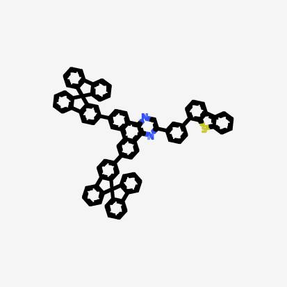 c1cc(-c2cnc3c4ccc(-c5ccc6c(c5)C5(c7ccccc7-c7ccccc75)c5ccccc5-6)cc4c4cc(-c5ccc6c(c5)C5(c7ccccc7-c7ccccc75)c5ccccc5-6)ccc4c3n2)cc(-c2cccc3c2sc2ccccc23)c1